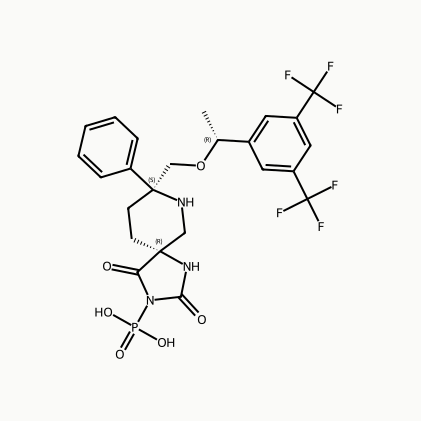 C[C@@H](OC[C@@]1(c2ccccc2)CC[C@]2(CN1)NC(=O)N(P(=O)(O)O)C2=O)c1cc(C(F)(F)F)cc(C(F)(F)F)c1